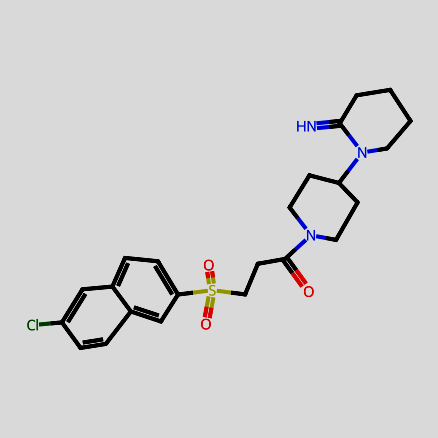 N=C1CCCCN1C1CCN(C(=O)CCS(=O)(=O)c2ccc3cc(Cl)ccc3c2)CC1